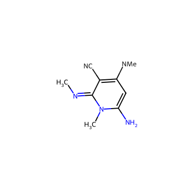 CN=c1c(C#N)c(NC)cc(N)n1C